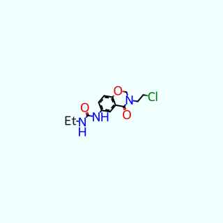 CCNC(=O)Nc1ccc2c(c1)C(=O)N(CCCl)CO2